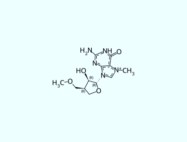 COC[C@@H]1CO[C@@H](n2c[n+](C)c3c(=O)[nH]c(N)nc32)[C@@H]1O